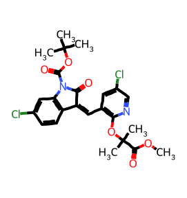 COC(=O)C(C)(C)Oc1ncc(Cl)cc1/C=C1\C(=O)N(C(=O)OC(C)(C)C)c2cc(Cl)ccc21